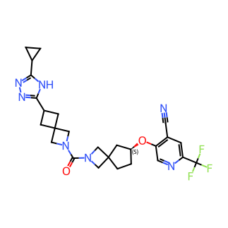 N#Cc1cc(C(F)(F)F)ncc1O[C@H]1CCC2(C1)CN(C(=O)N1CC3(CC(c4nnc(C5CC5)[nH]4)C3)C1)C2